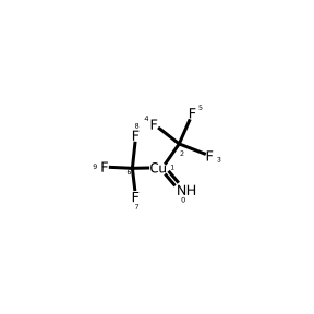 [NH]=[Cu]([C](F)(F)F)[C](F)(F)F